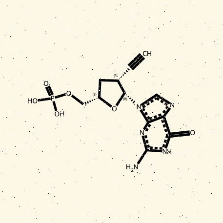 C#C[C@H]1C[C@@H](COP(=O)(O)O)O[C@H]1n1cnc2c(=O)[nH]c(N)nc21